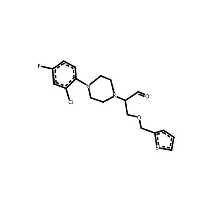 O=CC(COCc1cccs1)N1CCN(c2ccc(F)cc2Cl)CC1